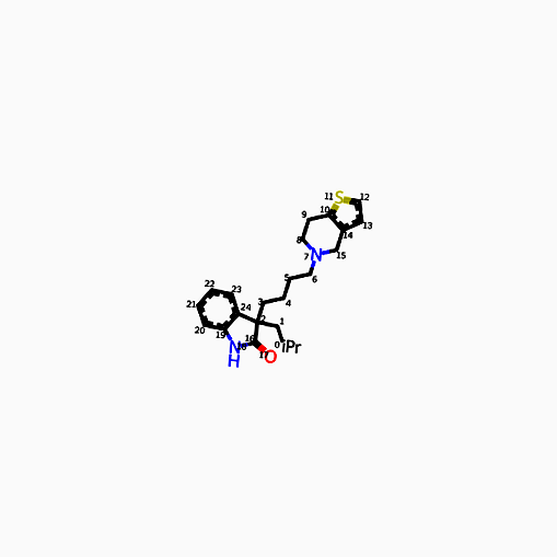 CC(C)CC1(CCCCN2CCc3sccc3C2)C(=O)Nc2ccccc21